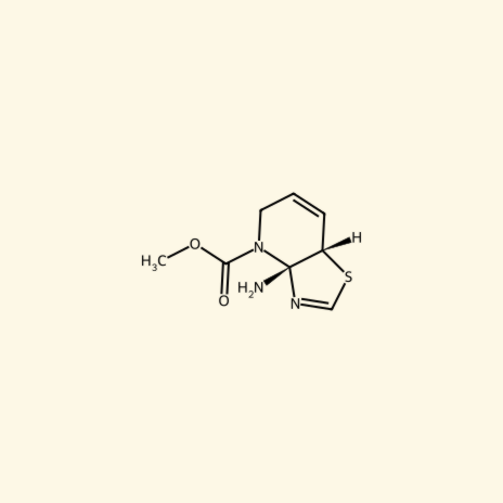 COC(=O)N1CC=C[C@@H]2SC=N[C@@]21N